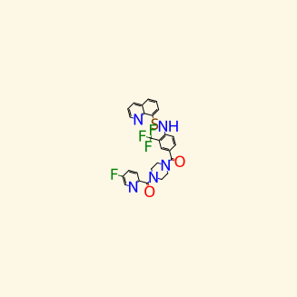 O=C(c1ccc(NSc2cccc3cccnc23)c(C(F)(F)F)c1)N1CCN(C(=O)c2ccc(F)cn2)CC1